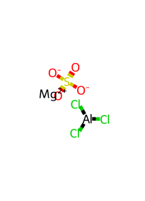 O=S(=O)([O-])[O-].[Cl][Al]([Cl])[Cl].[Mg+2]